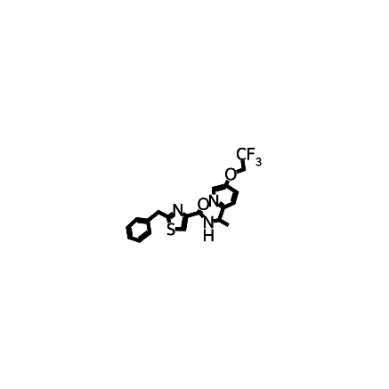 CC(NC(=O)c1csc(Cc2ccccc2)n1)c1ccc(OCC(F)(F)F)cn1